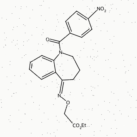 CCOC(=O)CON=C1CCCN(C(=O)c2ccc([N+](=O)[O-])cc2)c2ccccc21